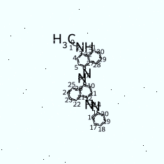 CCNc1ccc(N=Nc2ccc(N=Nc3ccccc3)c3ccccc23)c2ccccc12